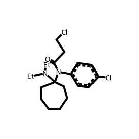 CCN(CC)C1(N(C(=O)CCCl)c2ccc(Cl)cc2)CCCCCC1